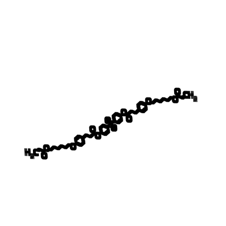 C=CC(=O)OCCCCCCOc1ccc(CCC(=O)Oc2ccc(S(=O)(=O)c3ccc(OC(=O)CCc4ccc(OCCCCCCOC(=O)C=C)cc4)cc3)cc2)cc1